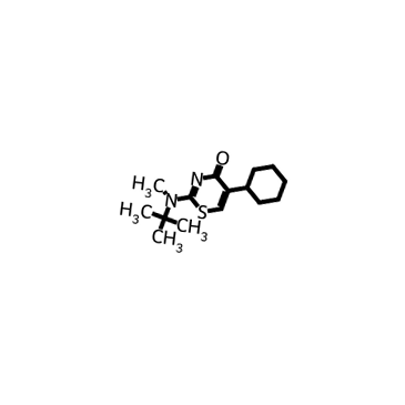 CN(c1nc(=O)c(C2CCCCC2)cs1)C(C)(C)C